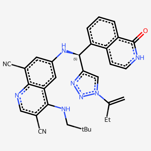 C=C(CC)n1cc([C@@H](Nc2cc(C#N)c3ncc(C#N)c(NCC(C)(C)C)c3c2)c2cccc3c(=O)[nH]ccc23)nn1